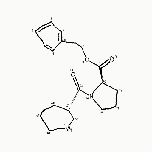 O=C(OCc1ccccc1)[C@H]1CCCN1C(=O)[C@H]1CCCNC1